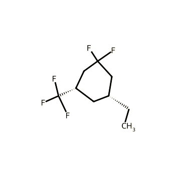 CC[C@@H]1C[C@H](C(F)(F)F)CC(F)(F)C1